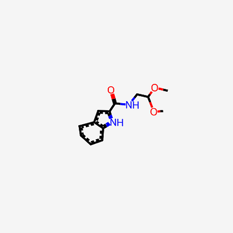 COC(CNC(=O)c1cc2ccccc2[nH]1)OC